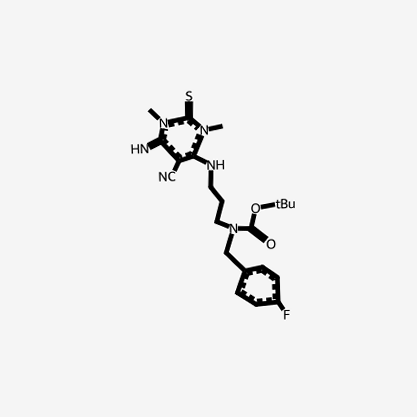 Cn1c(NCCCN(Cc2ccc(F)cc2)C(=O)OC(C)(C)C)c(C#N)c(=N)n(C)c1=S